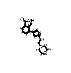 O=C1NCc2c1cccc2-c1cnn(CCN2CCOCC2)c1